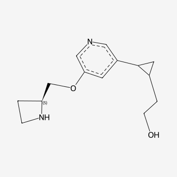 OCCC1CC1c1cncc(OC[C@@H]2CCN2)c1